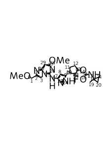 COCc1cn2c(Nc3cc([C@@H]4CC[C@H](OC(=O)NC5(C)CC5)[C@@H]4F)[nH]n3)nc(OC)cc2n1